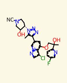 Cc1c(-c2cc(OCC(C)(O)c3ccc(F)cn3)c3c(Cl)cnn3c2)nnn1[C@H]1CCN(C#N)C[C@@H]1O